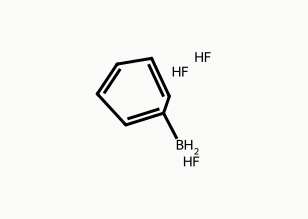 Bc1ccccc1.F.F.F